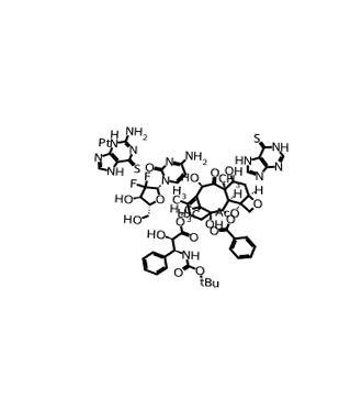 CC(=O)O[C@@]12CO[C@@H]1C[C@H](O)[C@@]1(C)C(=O)[C@H](O)C3=C(C)[C@@H](OC(=O)[C@H](O)[C@@H](NC(=O)OC(C)(C)C)c4ccccc4)C[C@@](O)([C@@H](OC(=O)c4ccccc4)[C@H]21)C3(C)C.Nc1ccn([C@@H]2O[C@H](CO)[C@@H](O)C2(F)F)c(=O)n1.Nc1nc(=S)c2[nH]cnc2[nH]1.S=c1[nH]cnc2nc[nH]c12.[Pt]